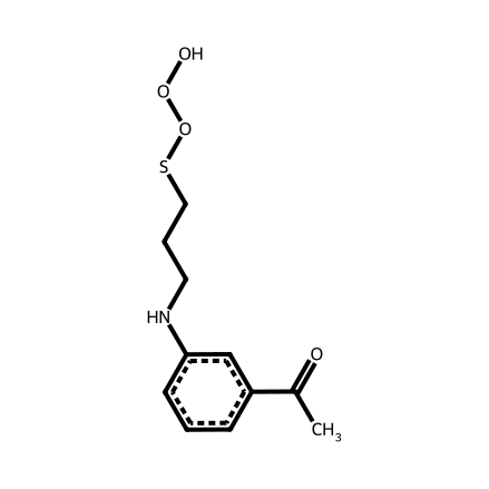 CC(=O)c1cccc(NCCCSOOO)c1